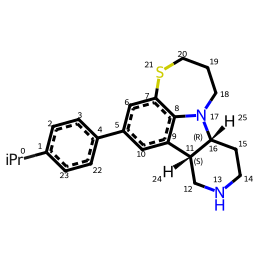 CC(C)c1ccc(-c2cc3c4c(c2)[C@H]2CNCC[C@H]2N4CCCS3)cc1